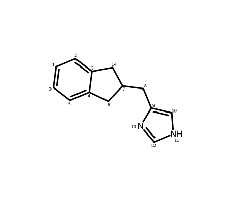 c1ccc2c(c1)CC(Cc1c[nH]cn1)C2